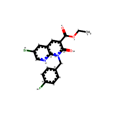 CCOC(=O)c1cc2cc(Br)cnc2n(Cc2ccc(F)cc2)c1=O